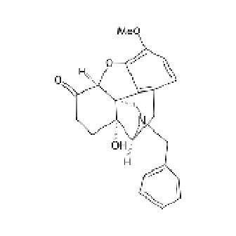 COc1ccc2c3c1O[C@@H]1C(=O)CC[C@]4(O)[C@H](C2)N(Cc2ccccc2)CC[C@@]314